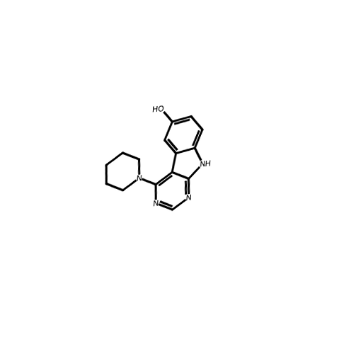 Oc1ccc2[nH]c3ncnc(N4CCCCC4)c3c2c1